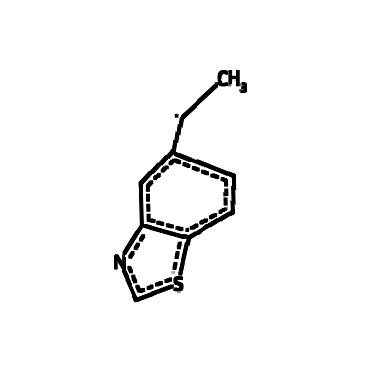 C[CH]c1ccc2scnc2c1